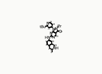 CC1Cc2ccc(Nc3ncc4c(=O)n(C(C)C)n(-c5ccnc(C(C)(C)C)c5)c4n3)cc2CN1